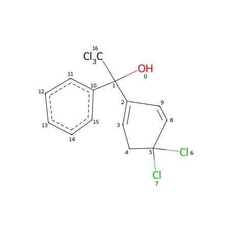 OC(C1=CCC(Cl)(Cl)C=C1)(c1ccccc1)C(Cl)(Cl)Cl